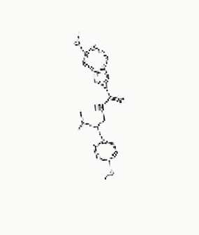 COc1ccc(C(CNC(=O)n2cc3ccc(OC)cc3c2)N(C)C)cc1